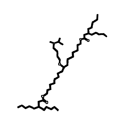 CCCCCC(CCCCC)CC(=O)OCCCCCCCCCC(CCCCCCCOC(=O)CC(CCCCC)CCCCC)OCCCCN(C)C(C)C